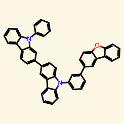 c1ccc(-n2c3ccccc3c3ccc(-c4ccc5c(c4)c4ccccc4n5-c4cccc(-c5ccc6oc7ccccc7c6c5)c4)cc32)cc1